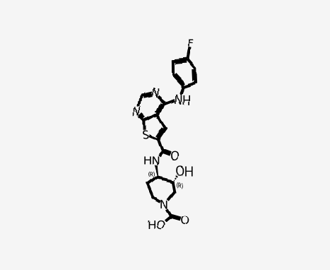 O=C(N[C@@H]1CCN(C(=O)O)C[C@H]1O)c1cc2c(Nc3ccc(F)cc3)ncnc2s1